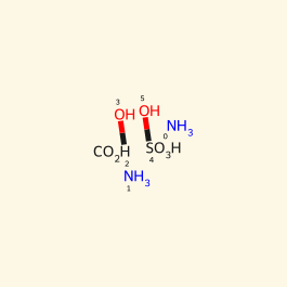 N.N.O=C(O)O.O=S(=O)(O)O